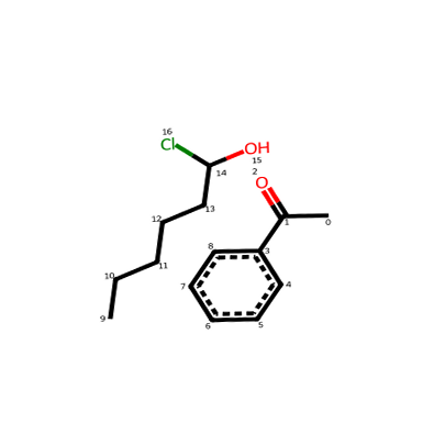 CC(=O)c1ccccc1.CCCCCC(O)Cl